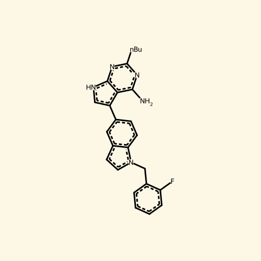 CCCCc1nc(N)c2c(-c3ccc4c(ccn4Cc4ccccc4F)c3)c[nH]c2n1